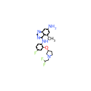 Cc1cc(N)cc2ncnc(Nc3ccc(F)cc3OC3CCN(CC(F)F)C3)c12